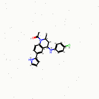 CC(=O)N1c2ccc(-c3ccc[nH]3)cc2C(Nc2ccc(Cl)cc2)CC1C